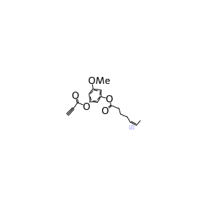 C#CC(=O)Oc1cc(OC)cc(OC(=O)CCC/C=C\C)c1